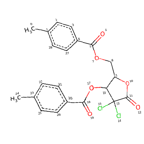 Cc1ccc(C(=O)OCC2OC(=O)C(Cl)(Cl)C2OC(=O)c2ccc(C)cc2)cc1